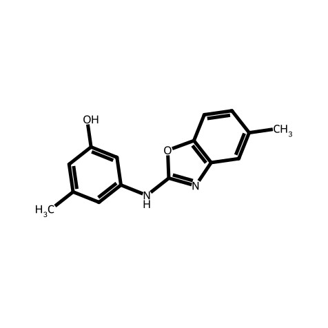 Cc1cc(O)cc(Nc2nc3cc(C)ccc3o2)c1